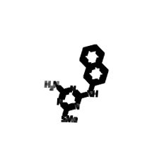 CSc1nc(N)nc(Nc2ccc3ccccc3c2)n1